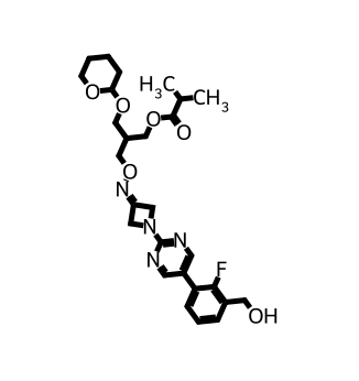 CC(C)C(=O)OCC(CON=C1CN(c2ncc(-c3cccc(CO)c3F)cn2)C1)COC1CCCCO1